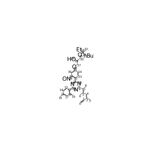 C#C/C(C)=C\C(C)=C(/C)c1nc(-c2ccc(C)cc2C)nc(-c2ccc(OCC(O)COC(C)(CC)CCCC)cc2N=O)n1